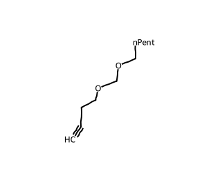 C#CCCOCOCCCCCC